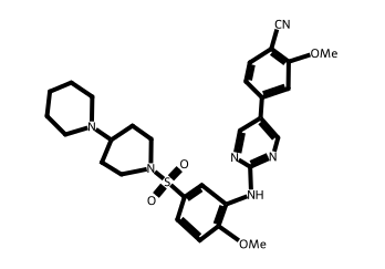 COc1cc(-c2cnc(Nc3cc(S(=O)(=O)N4CCC(N5CCCCC5)CC4)ccc3OC)nc2)ccc1C#N